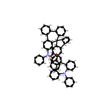 c1ccc(N(c2ccc3c(c2)-c2ccccc2N(c2ccccc2)c2ccccc2-3)c2ccc3c(c2)C2(c4ccccc4-c4ccccc4-3)c3ccccc3-c3cc4c(cc32)sc2ccccc24)cc1